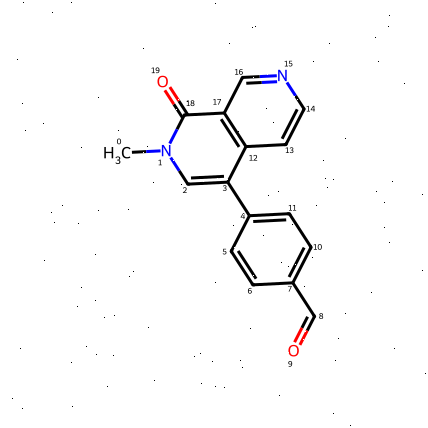 Cn1cc(-c2ccc(C=O)cc2)c2ccncc2c1=O